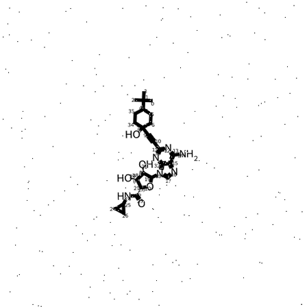 CC(C)(C)C1CCC(O)(C#Cc2nc(N)c3ncn(C4O[C@H](C(=O)NC5CC5)[C@H](O)[C@@H]4O)c3n2)CC1